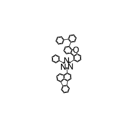 c1ccc(-c2nc(-c3ccc4c5c(cccc35)-c3ccccc3-4)nc(-c3cccc4oc5c(-c6ccccc6-c6ccccc6)cccc5c34)n2)cc1